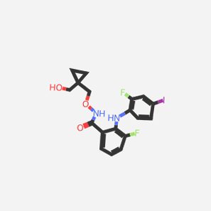 O=C(NOCC1(CO)CC1)c1cccc(F)c1Nc1ccc(I)cc1F